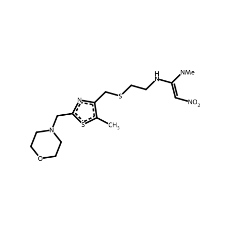 CNC(=C[N+](=O)[O-])NCCSCc1nc(CN2CCOCC2)sc1C